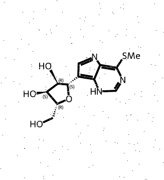 CSc1nc[nH]c2c([C@@H]3O[C@H](CO)[C@@H](O)[C@H]3O)cnc1-2